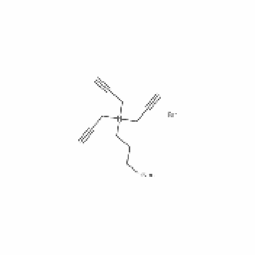 C#CC[N+](CC#C)(CC#C)CCCCCCCCCCCC.[Br-]